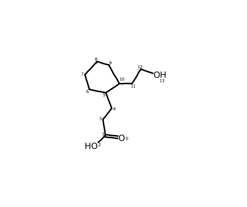 O=C(O)CCC1CC[CH]CC1CCO